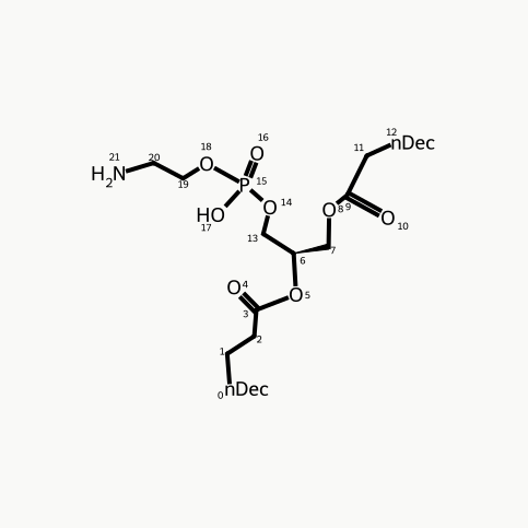 CCCCCCCCCCCCC(=O)O[C@H](COC(=O)CCCCCCCCCCC)COP(=O)(O)OCCN